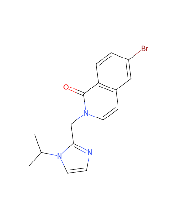 CC(C)n1ccnc1Cn1ccc2cc(Br)ccc2c1=O